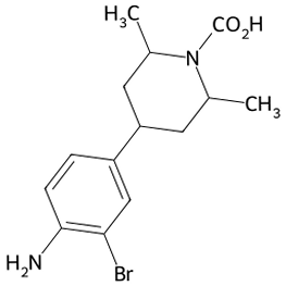 CC1CC(c2ccc(N)c(Br)c2)CC(C)N1C(=O)O